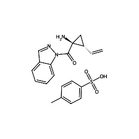 C=C[C@H]1C[C@@]1(N)C(=O)n1ncc2ccccc21.Cc1ccc(S(=O)(=O)O)cc1